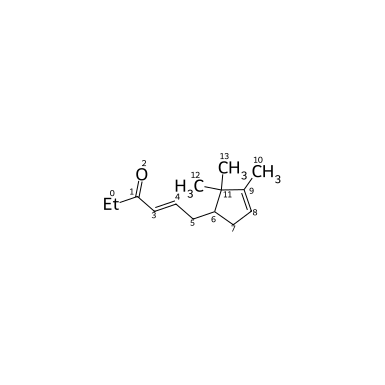 CCC(=O)C=CCC1CC=C(C)C1(C)C